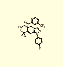 O=C(c1cc(C(F)(F)F)ccn1)C12CNCC3(CC3)C1=Cc1c(cnn1-c1ccc(F)cc1)C2